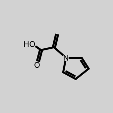 C=C(C(=O)O)n1cccc1